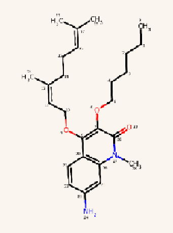 CCCCCCOc1c(OCC=C(C)CCC=C(C)C)c2ccc(N)cc2n(C)c1=O